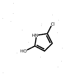 Oc1ccc(Cl)[nH]1